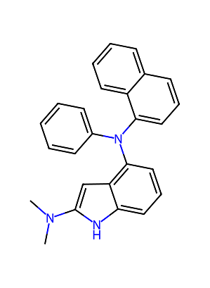 CN(C)c1cc2c(N(c3ccccc3)c3cccc4ccccc34)cccc2[nH]1